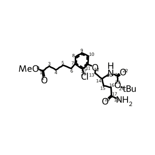 COC(=O)CCCCc1cccc(OCC(CCC(N)=O)NC(=O)OC(C)(C)C)c1Cl